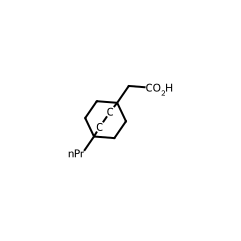 CCCC12CCC(CC(=O)O)(CC1)CC2